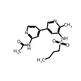 CCCCS(=O)(=O)Nc1cc(-c2ccnc(NC(C)=O)c2)cnc1C